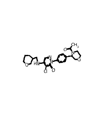 CC(=O)N1CCOCC1c1ccc(-n2ncc(NCC3CCCOC3)c(Cl)c2=O)cc1